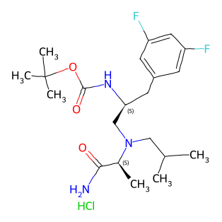 CC(C)CN(C[C@H](Cc1cc(F)cc(F)c1)NC(=O)OC(C)(C)C)[C@@H](C)C(N)=O.Cl